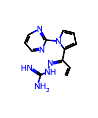 C=CC(=NNC(=N)N)c1cccn1-c1ncccn1